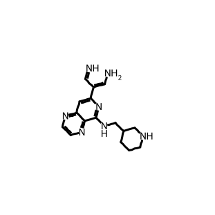 N=C/C(=C\N)c1cc2nccnc2c(NCC2CCCNC2)n1